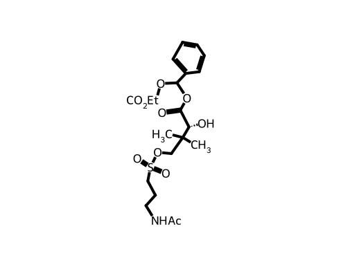 CCOC(=O)OC(OC(=O)[C@H](O)C(C)(C)COS(=O)(=O)CCCNC(C)=O)c1ccccc1